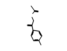 CC(=O)OCC(=O)c1ccc(C)cc1